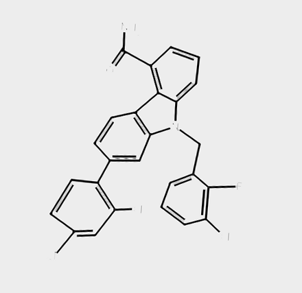 NC(=O)c1cccc2c1c1[c]cc(-c3ccc(Cl)cc3Cl)cc1n2Cc1cccc(Cl)c1F